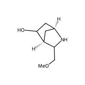 COCC1N[C@@H]2CC(O)[C@H]1C2